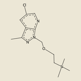 Cc1nn(COCC[Si](C)(C)C)c2ncc(Cl)cc12